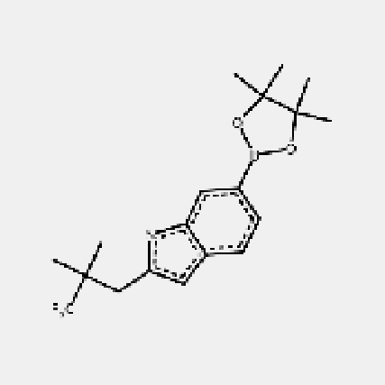 CC(C)(Cc1cc2ccc(B3OC(C)(C)C(C)(C)O3)cc2s1)C(F)(F)F